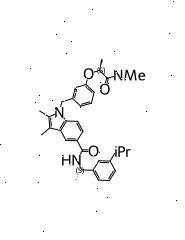 CNC(=O)[C@H](C)Oc1cccc(Cn2c(C)c(C)c3cc(C(=O)N[C@@H](C)c4cccc(C(C)C)c4)ccc32)c1